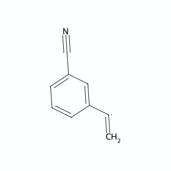 C=[C]c1cccc(C#N)c1